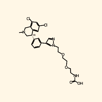 CN1Cc2c(Cl)cc(Cl)cc2[C@H](c2cccc(-c3cnn(CCOCCOCCNC(=O)O)c3)c2)C1